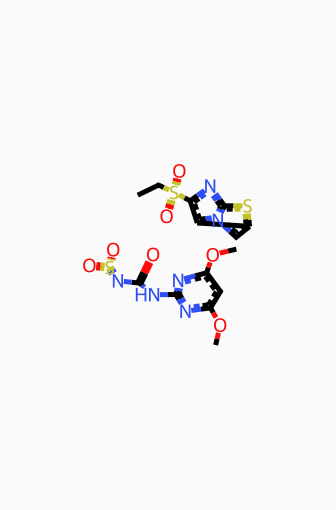 CCS(=O)(=O)c1nc2sc3cn2c1-3.COc1cc(OC)nc(NC(=O)N=S(=O)=O)n1